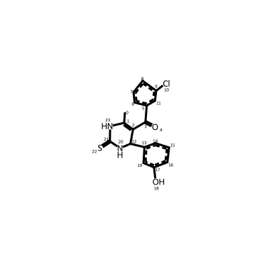 CC1=C(C(=O)c2cccc(Cl)c2)C(c2cccc(O)c2)NC(=S)N1